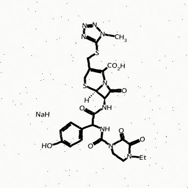 CCN1CCN(C(=O)NC(C(=O)N[C@@H]2C(=O)N3C(C(=O)O)=C(CSc4nnnn4C)CS[C@H]23)c2ccc(O)cc2)C(=O)C1=O.[NaH]